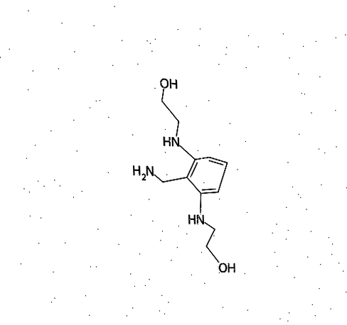 NCc1c(NCCO)cccc1NCCO